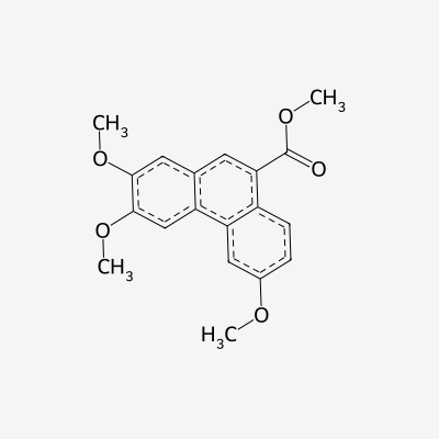 COC(=O)c1cc2cc(OC)c(OC)cc2c2cc(OC)ccc12